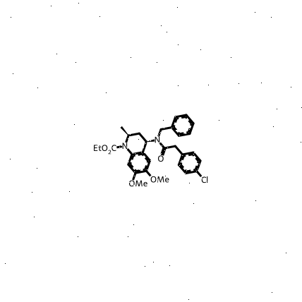 CCOC(=O)N1c2cc(OC)c(OC)cc2[C@H](N(Cc2ccccc2)C(=O)Cc2ccc(Cl)cc2)C[C@@H]1C